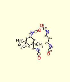 CC1(C)CC(N=C=O)CC(C)(CN=C=O)C1.O=C=NCCCN=C=O